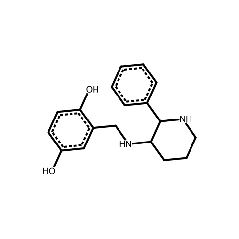 Oc1ccc(O)c(CNC2CCCNC2c2ccccc2)c1